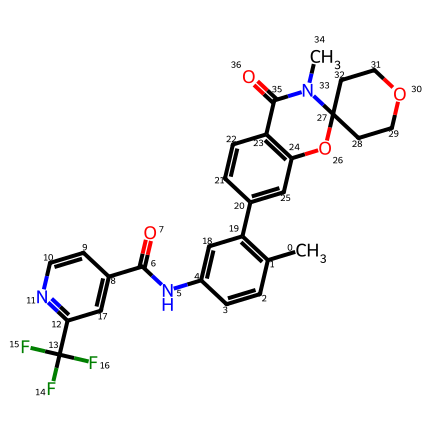 Cc1ccc(NC(=O)c2ccnc(C(F)(F)F)c2)cc1-c1ccc2c(c1)OC1(CCOCC1)N(C)C2=O